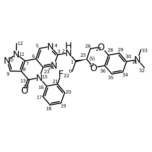 CC(Nc1ncc2c3c(cnn3C)c(=O)n(-c3ccccc3F)c2n1)[C@H]1COc2cc(N(C)C)ccc2O1